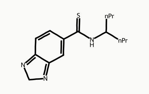 CCCC(CCC)NC(=S)c1ccc2c(c1)=NCN=2